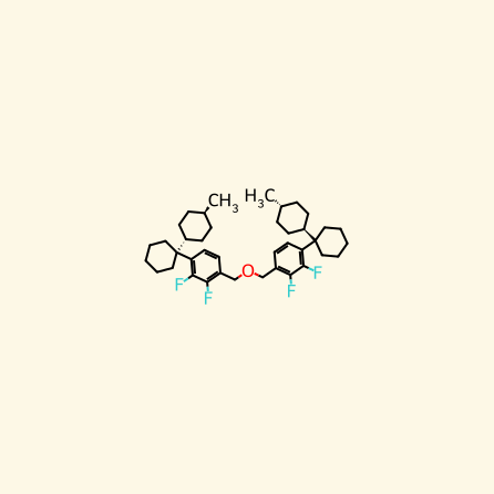 C[C@H]1CC[C@H](C2(c3ccc(COCc4ccc(C5([C@H]6CC[C@H](C)CC6)CCCCC5)c(F)c4F)c(F)c3F)CCCCC2)CC1